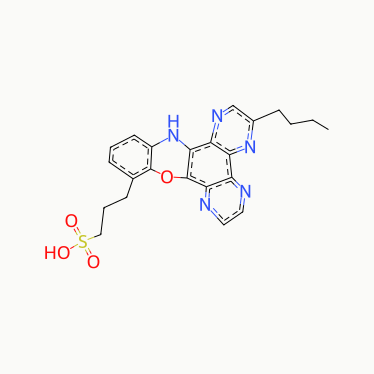 CCCCc1cnc2c3c(c4nccnc4c2n1)Oc1c(CCCS(=O)(=O)O)cccc1N3